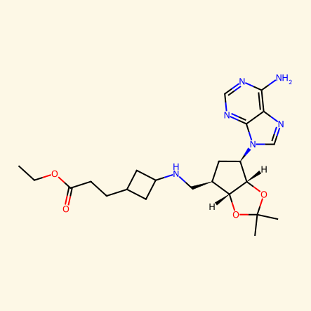 CCOC(=O)CCC1CC(NC[C@H]2C[C@@H](n3cnc4c(N)ncnc43)[C@@H]3OC(C)(C)O[C@H]23)C1